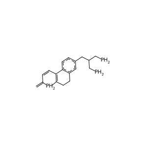 C=C(P)/C=C\C1=C(C)CCc2cc(CC(CP)CP)ccc21